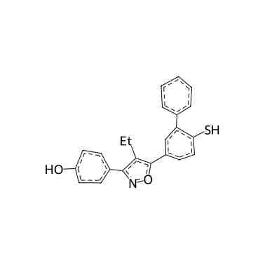 CCc1c(-c2ccc(O)cc2)noc1-c1ccc(S)c(-c2ccccc2)c1